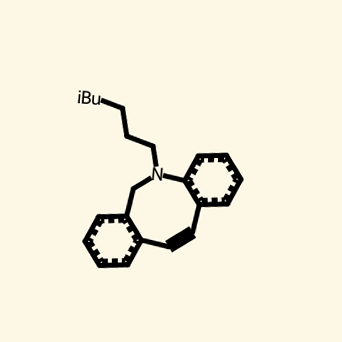 CCC(C)CCCN1Cc2ccccc2C#Cc2ccccc21